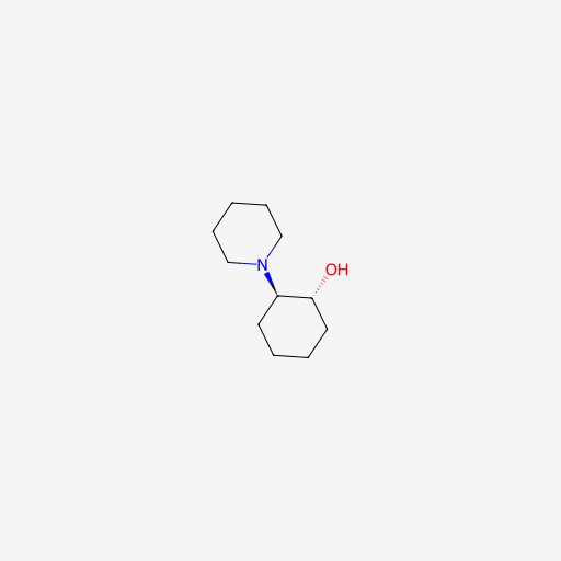 O[C@@H]1CCCC[C@H]1N1CCCCC1